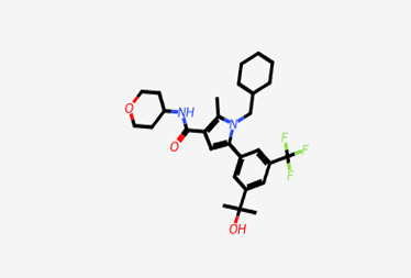 Cc1c(C(=O)NC2CCOCC2)cc(-c2cc(C(C)(C)O)cc(C(F)(F)F)c2)n1CC1CCCCC1